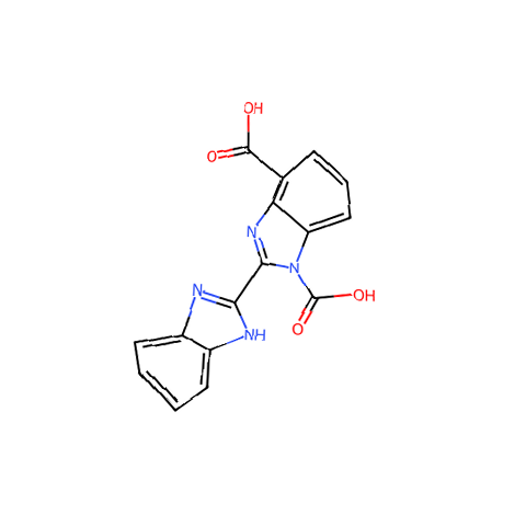 O=C(O)c1cccc2c1nc(-c1nc3ccccc3[nH]1)n2C(=O)O